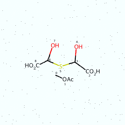 COC(C)=O.O=C(O)C(O)SC(O)C(=O)O